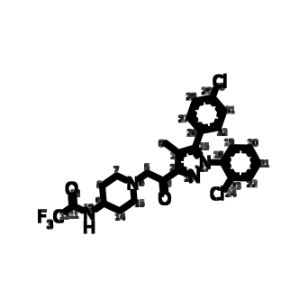 Cc1c(C(=O)CN2CCC(NC(=O)C(F)(F)F)CC2)nn(-c2ccccc2Cl)c1-c1ccc(Cl)cc1